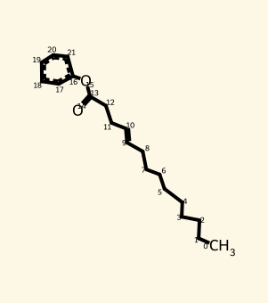 CCCCCCCCC/C=C/CCC(=O)Oc1ccccc1